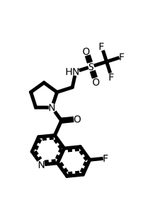 O=C(c1ccnc2ccc(F)cc12)N1CCCC1CNS(=O)(=O)C(F)(F)F